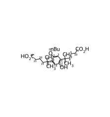 CCCCOc1cc(C(C)(C)CCCC(=O)O)c(O)cc1C(C)(C)CCCC(=O)O